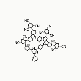 N#Cc1cc(C#N)c(-c2ccc3c(c2)c2cc(-c4c(C#N)cc(C#N)cc4C#N)ccc2n3-c2cccc(-c3cc(-c4nc(-c5ccccc5)cc(-c5ccccc5)n4)ccc3-n3c4ccc(-c5c(C#N)cc(C#N)cc5C#N)cc4c4cc(-c5c(C#N)cc(C#N)cc5C#N)ccc43)c2)c(C#N)c1